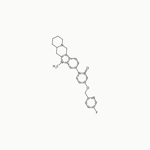 Cn1c2c(c3ccc(-n4ccc(OCc5ccc(F)cn5)cc4=O)cc31)CN1CCCCC1C2